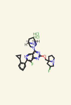 Cl.Cl.Fc1c(-c2ccccc2C2CC2)ncc2c(N3C[C@H]4CC[C@@H](C3)N4)nc(OCC34CCCN3CC(F)C4)nc12